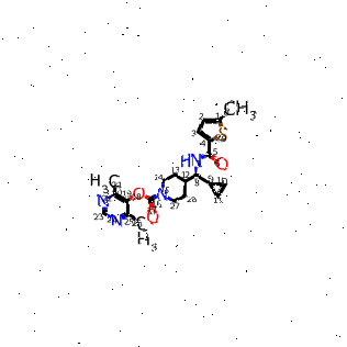 Cc1ccc(C(=O)N[C@@H](C2CC2)C2CCN(C(=O)Oc3c(C)ncnc3C)CC2)s1